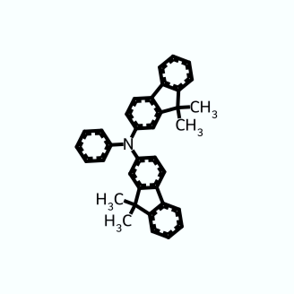 CC1(C)c2ccccc2-c2ccc(N(c3ccccc3)c3ccc4c(c3)C(C)(C)c3ccccc3-4)cc21